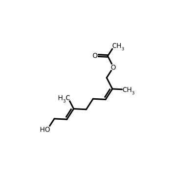 CC(=O)OC/C(C)=C\CC/C(C)=C/CO